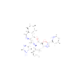 Cc1nc(-c2ccccn2)oc1C(=O)N1C[C@H](C)c2[nH]cnc2[C@H]1c1cc2ccccc2cn1